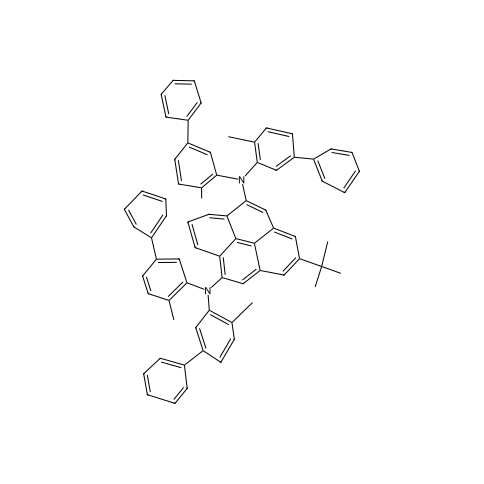 Cc1ccc(-c2ccccc2)cc1N(c1cc(-c2ccccc2)ccc1C)c1cc2cc(C(C)(C)C)cc3cc(N(c4cc(-c5ccccc5)ccc4C)c4cc(-c5ccccc5)ccc4C)c4cccc1c4c23